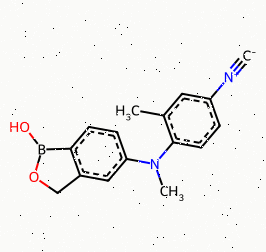 [C-]#[N+]c1ccc(N(C)c2ccc3c(c2)COB3O)c(C)c1